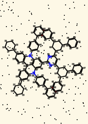 c1ccc(-c2ccc(N3c4cc(C5CCCCC5)ccc4B4c5ccc(C6CCCCC6)cc5N(c5ccc(-c6ccccc6)cc5)c5cc(-c6nc(C7CC(c8ccccc8)CC(c8ccccc8)C7)cc(C7CC(c8ccccc8)CC(c8ccccc8)C7)n6)cc3c54)cc2)cc1